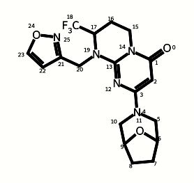 O=c1cc(N2CC3CCC(C2)O3)nc2n1CCC(C(F)(F)F)N2Cc1ccon1